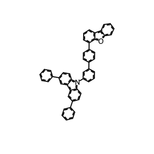 c1ccc(-c2ccc3c(c2)c2cc(-c4ccccc4)ccc2n3-c2cccc(-c3ccc(-c4cccc5c4oc4ccccc45)cc3)c2)cc1